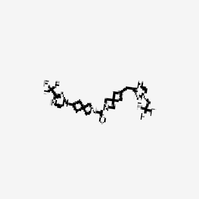 O=C(N1CC2(CC(Cc3ncn(CC(F)(F)F)n3)C2)C1)N1CC2(CC(n3cnc(C(F)(F)F)n3)C2)C1